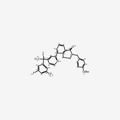 COc1ccc(CN2CCc3c(ccnc3-c3cc(C(C)(F)c4cc(F)cc(C(F)(F)F)c4)ccn3)C2=O)cc1